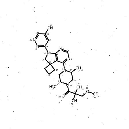 C[C@@H]1CN(c2ncnc3c2C2(CCC2)CN3c2cc(C#N)cnn2)[C@@H](C)CN1C(=O)C(C)(C#N)COC(F)(F)F